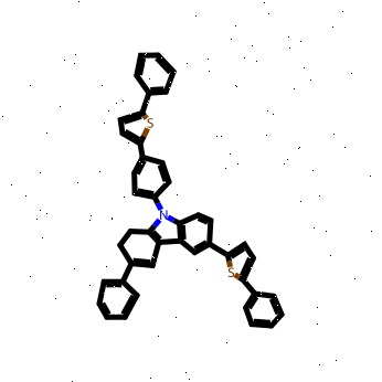 C1=C(c2ccccc2)CCc2c1c1cc(-c3ccc(-c4ccccc4)s3)ccc1n2-c1ccc(-c2ccc(-c3ccccc3)s2)cc1